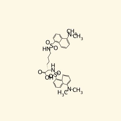 CN(C)c1cccc2c(S(=O)(=O)NCCCC[C@H](NS(=O)(=O)c3cccc4c(N(C)C)cccc34)C(=O)O)cccc12